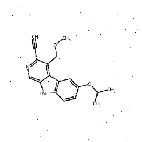 C#Cc1ncc2[nH]c3ccc(OC(C)C)cc3c2c1COC